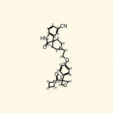 N#Cc1ccc2c(c1)C1(CCN(CCOc3ccc(C4(C(=O)N5CCC5)COC4)cc3)CC1)C(=O)N2